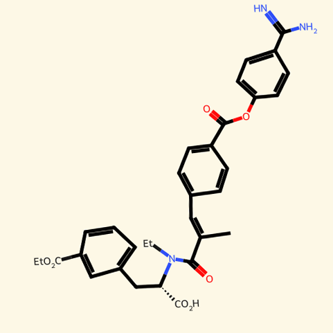 CCOC(=O)c1cccc(C[C@@H](C(=O)O)N(CC)C(=O)/C(C)=C/c2ccc(C(=O)Oc3ccc(C(=N)N)cc3)cc2)c1